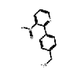 NCc1ccc(-c2ncccc2[N+](=O)[O-])cc1